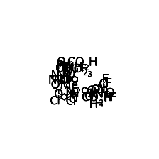 C#CCOc1cc(-n2nc3n(c2=O)CCCC3)c(Cl)cc1Cl.COc1nc(C)nc(NC(=O)NS(=O)(=O)c2ccccc2CCC(F)(F)F)n1.CP(=O)(O)CCC(N)C(=O)O.O=C(Nc1nc(OC(F)F)cc(OC(F)F)n1)NS(=O)(=O)c1ccccc1C(=O)O